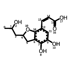 CC(O)CC1Cc2c(O)c(O)cc(/C=C\C(=O)O)c2O1